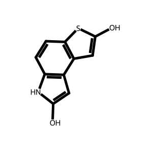 Oc1cc2c(ccc3sc(O)cc32)[nH]1